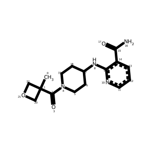 CC1(C(=O)N2CCC(Nc3ncccc3C(N)=O)CC2)COC1